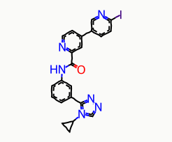 O=C(Nc1cccc(-c2nncn2C2CC2)c1)c1cc(-c2ccc(I)nc2)ccn1